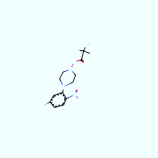 CC(C)(C)C(=O)ON1CCN(c2cc(F)ccc2[N+](=O)[O-])CC1